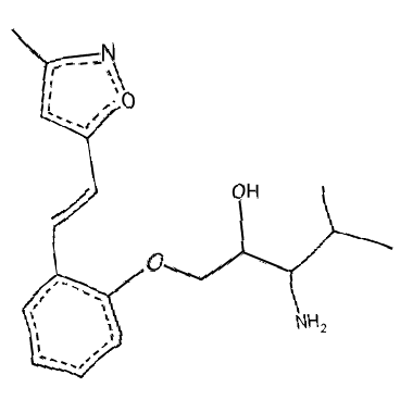 Cc1cc(C=Cc2ccccc2OCC(O)C(N)C(C)C)on1